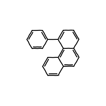 [c]1cccc2c1ccc1cccc(-c3ccccc3)c12